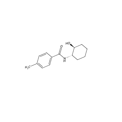 Cc1ccc(C(=O)N[C@H]2CCCC[C@@H]2O)cc1